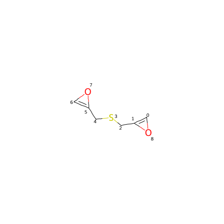 C1=C(CSCC2=CO2)O1